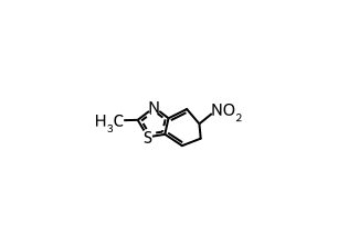 Cc1nc2c(s1)=CCC([N+](=O)[O-])C=2